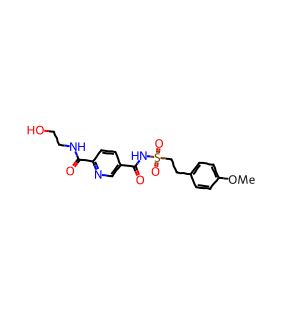 COc1ccc(CCS(=O)(=O)NC(=O)c2ccc(C(=O)NCCO)nc2)cc1